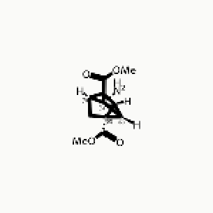 COC(=O)[C@]1(N)[C@@H]2C[C@@H]3[C@@H]1[C@@]3(C(=O)OC)C2